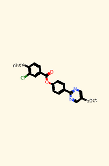 CCCCCCCCc1cnc(-c2ccc(OC(=O)c3ccc(CCCCCC)c(Cl)c3)cc2)nc1